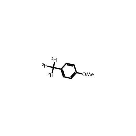 [2H]C([2H])([2H])c1ccc(OC)cc1